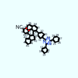 N#Cc1ccc(-c2c(-c3c(-c4ccc(-c5nc(-c6ccccc6)nc(-c6ccccc6)n5)cc4)ccc4ccccc34)ccc3ccccc23)cc1